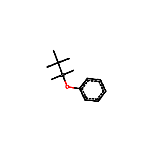 CC(C)(C)[Si](C)(C)Oc1ccccc1